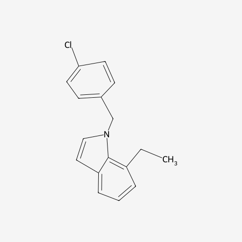 CCc1cccc2ccn(Cc3ccc(Cl)cc3)c12